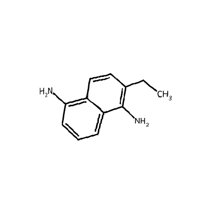 CCc1ccc2c(N)cccc2c1N